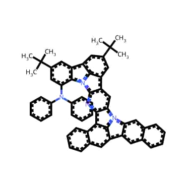 CC(C)(C)c1cc(N(c2ccccc2)c2ccccc2)c2c(c1)c1cc(C(C)(C)C)cc3c4cc5c(nc4n2c31)c1c2ccccc2cc2c3cc4ccccc4cc3n5c21